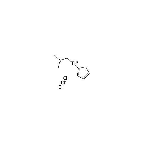 CN(C)[CH2][Ti+3][C]1=CC=CC1.[Cl-].[Cl-].[Cl-]